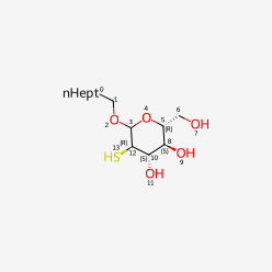 CCCCCCCCOC1O[C@H](CO)[C@@H](O)[C@H](O)[C@H]1S